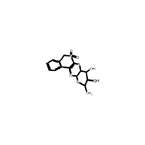 CC1OC2OC3=C(SC2C(O)C1O)S(=O)(=O)Cc1ccccc13